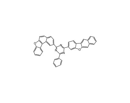 c1ccc(-c2nc(-c3ccc4c(c3)oc3cc5ccccc5cc34)nc(-c3ccc4ccc5oc6ccccc6c5c4c3)n2)cc1